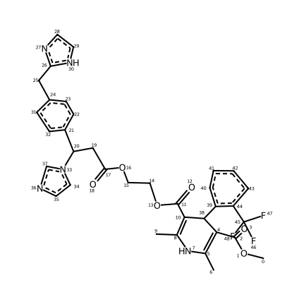 COC(=O)C1=C(C)NC(C)=C(C(=O)OCCOC(=O)CC(c2ccc(Cc3ncc[nH]3)cc2)n2ccnc2)C1c1ccccc1C(F)(F)F